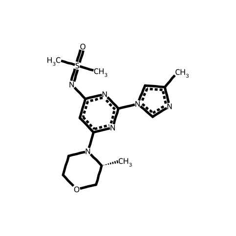 Cc1cn(-c2nc(N=S(C)(C)=O)cc(N3CCOC[C@H]3C)n2)cn1